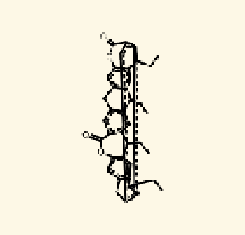 CCC1c2cc3c4cc2Cc2cc5c(cc21)C(CC)c1cc2c(cc1OC5=O)Cc1cc(c(cc1C2CC)C3CC)C(=O)O4